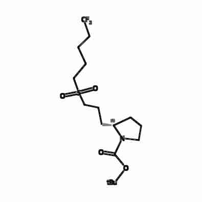 CC(C)(C)OC(=O)N1CCC[C@H]1CCCS(=O)(=O)CCCCC(F)(F)F